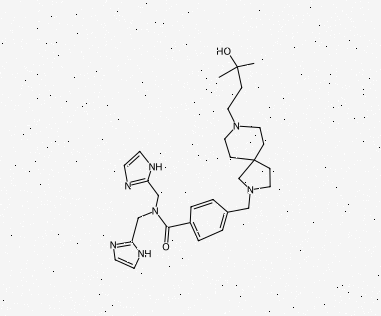 CC(C)(O)CCN1CCC2(CC1)CCN(Cc1ccc(C(=O)N(Cc3ncc[nH]3)Cc3ncc[nH]3)cc1)C2